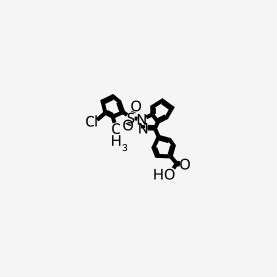 Cc1c(Cl)cccc1S(=O)(=O)n1nc(-c2ccc(C(=O)O)cc2)c2ccccc21